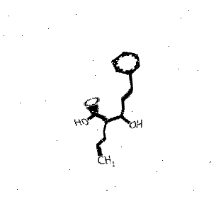 C=CCC(C(=O)O)C(O)CCc1ccccc1